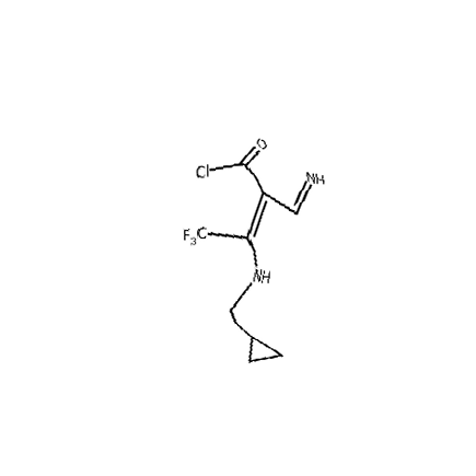 N=C/C(C(=O)Cl)=C(\NCC1CC1)C(F)(F)F